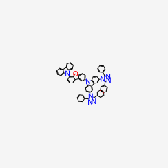 c1ccc(-c2nnc(-c3ccccc3)n2-c2ccc3c(c2)c2cc(-n4c(-c5ccccc5)nnc4-c4ccccc4)ccc2n3-c2ccc3oc4c(-n5c6ccccc6c6ccccc65)cccc4c3c2)cc1